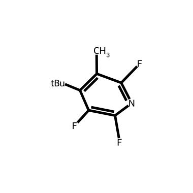 Cc1c(F)nc(F)c(F)c1C(C)(C)C